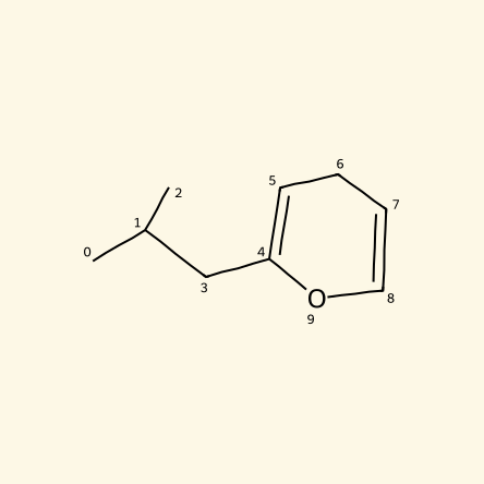 CC(C)CC1=CCC=CO1